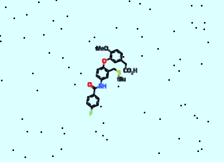 COc1ccc(CC(=O)O)cc1Oc1ccc(NC(=O)c2ccc(F)cc2)cc1CSC(C)(C)C